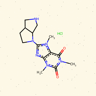 Cl.Cn1c(=O)c2c(nc(N3CCC4CNCC43)n2C)n(C)c1=O